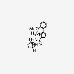 COc1ccccc1-c1ccc(C(=O)N[C@@H]2C[C@H]3CC[C@@H]2N3)n1C